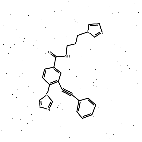 O=C(NCCCn1ccnc1)c1ccc(-n2cnnc2)c(C#Cc2ccccc2)c1